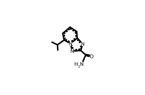 CC(C)c1cccc2nc(C(N)=O)nn12